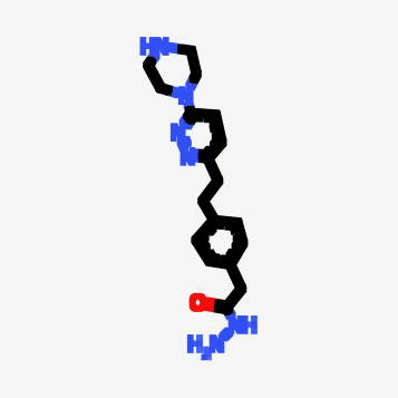 NNC(=O)Cc1ccc(CCc2ccc(N3CCNCC3)nn2)cc1